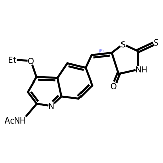 CCOc1cc(NC(C)=O)nc2ccc(/C=C3/SC(=S)NC3=O)cc12